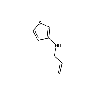 C=CCNc1cscn1